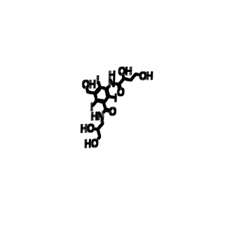 O=C(NCC(O)CO)c1c(I)c(CO)c(I)c(NC(=O)C(O)CCO)c1I